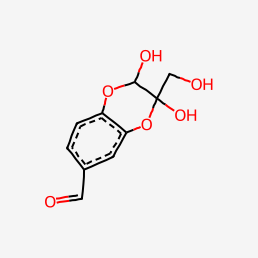 O=Cc1ccc2c(c1)OC(O)(CO)C(O)O2